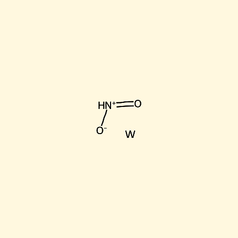 O=[NH+][O-].[W]